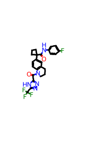 O=C(c1nnc(C(F)(F)F)[nH]1)N1CCCc2cc(C3(C(=O)Nc4ccc(F)cc4)CCC3)ccc21